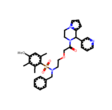 COc1cc(C)c(S(=O)(=O)N(CCOCC(=O)N2CCn3cccc3C2c2cccnc2)Cc2ccccc2)c(C)c1C